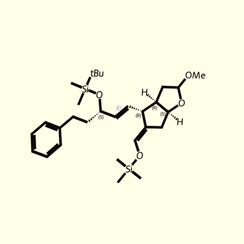 COC1C[C@H]2[C@H](CC(=CO[Si](C)(C)C)[C@@H]2/C=C/[C@H](CCc2ccccc2)O[Si](C)(C)C(C)(C)C)O1